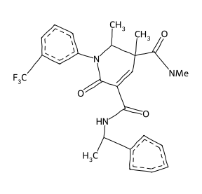 CNC(=O)C1(C)C=C(C(=O)NC(C)c2ccccc2)C(=O)N(c2cccc(C(F)(F)F)c2)C1C